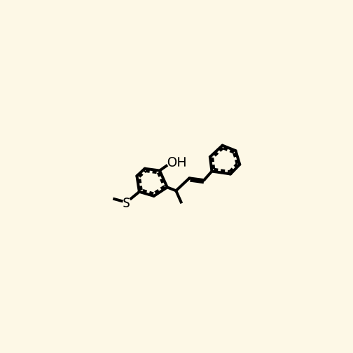 CSc1ccc(O)c(C(C)C=Cc2ccccc2)c1